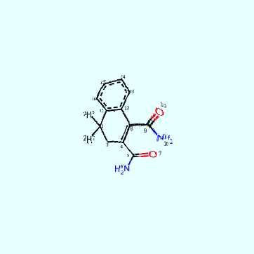 [2H]C1([2H])CC(C(N)=O)=C(C(N)=O)c2ccccc21